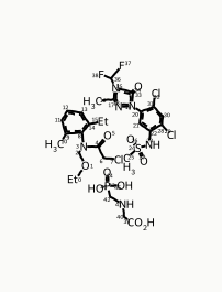 CCOCN(C(=O)CCl)c1c(C)cccc1CC.Cc1nn(-c2cc(NS(C)(=O)=O)c(Cl)cc2Cl)c(=O)n1C(F)F.O=C(O)CNCP(=O)(O)O